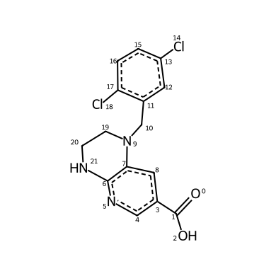 O=C(O)c1cnc2c(c1)N(Cc1cc(Cl)ccc1Cl)CCN2